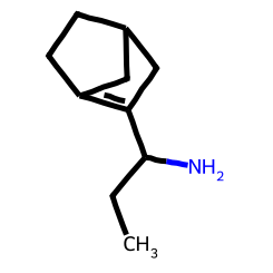 CCC(N)C1=C2CCC(C2)C1